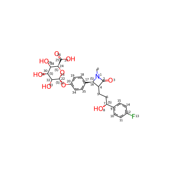 CN1C(=O)C(CC[C@H](O)c2ccc(F)cc2)[C@H]1c1ccc(O[C@@H]2O[C@H](C(=O)O)C(O)[C@H](O)C2O)cc1